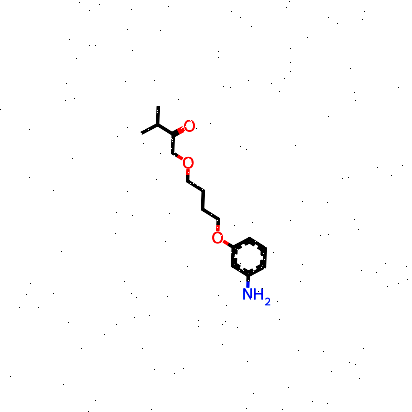 CC(C)C(=O)COCCCCOc1cccc(N)c1